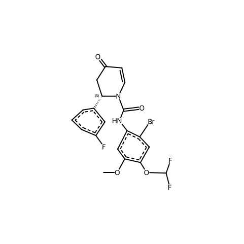 COc1cc(NC(=O)N2C=CC(=O)C[C@H]2c2cccc(F)c2)c(Br)cc1OC(F)F